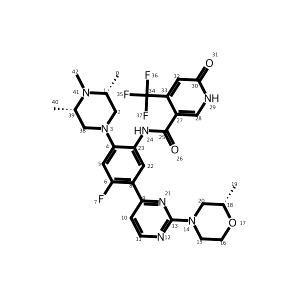 C[C@@H]1CN(c2cc(F)c(-c3ccnc(N4CCO[C@@H](C)C4)n3)cc2NC(=O)c2c[nH]c(=O)cc2C(F)(F)F)C[C@H](C)N1C